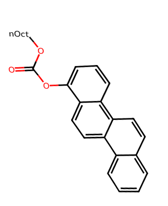 CCCCCCCCOC(=O)Oc1cccc2c1ccc1c3ccccc3ccc21